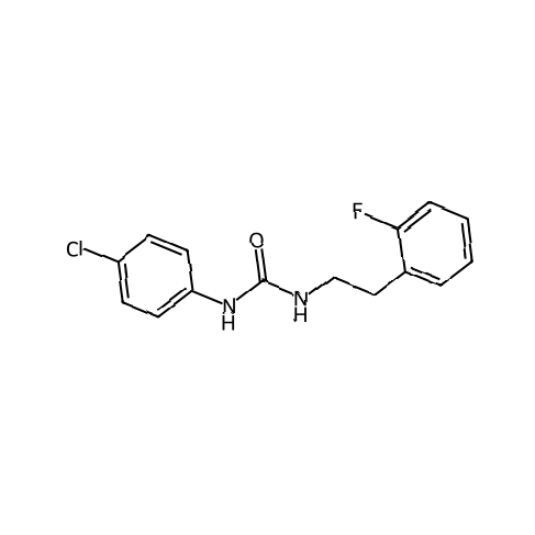 O=C(NCCc1ccccc1F)Nc1ccc(Cl)cc1